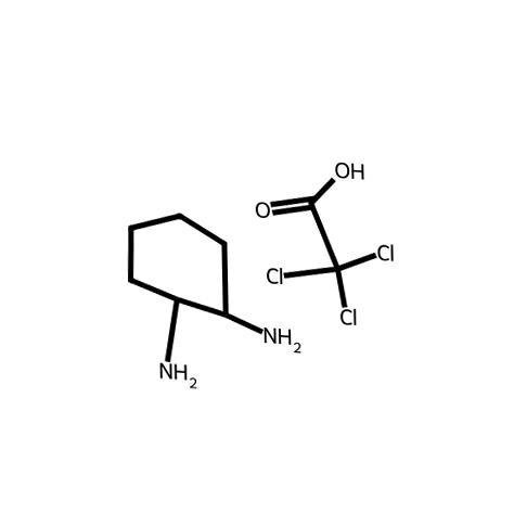 NC1CCCCC1N.O=C(O)C(Cl)(Cl)Cl